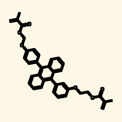 C=C(C)C(=O)OCCOc1cccc(-c2c3ccccc3c(-c3ccc(OCOC(=O)C(=C)C)cc3)c3ccccc23)c1